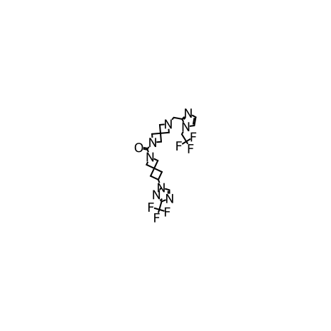 O=C(N1CC2(CC(n3cnc(C(F)(F)F)n3)C2)C1)N1CC2(CN(Cc3nccn3CC(F)(F)F)C2)C1